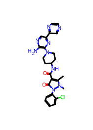 Cc1c(C(=O)NC2CCN(c3nc(-c4cnccn4)cnc3N)CC2)c(=O)n(-c2ccccc2Cl)n1C